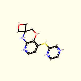 c1cnc(Sc2ccnc3c2OCC2(COC2)N3)cn1